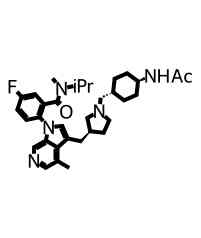 CC(=O)N[C@H]1CC[C@H](CN2CC[C@@H](Cc3cn(-c4ccc(F)cc4C(=O)N(C)C(C)C)c4cncc(C)c34)C2)CC1